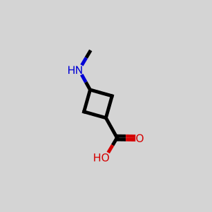 CNC1CC(C(=O)O)C1